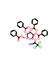 N=C(O[C@@H]1O[C@H](COC(=O)c2ccccc2)[C@H](OC(=O)c2ccccc2)[C@H](OC(=O)c2ccccc2)[C@H]1OC(=O)c1ccccc1)C(Cl)(Cl)Cl